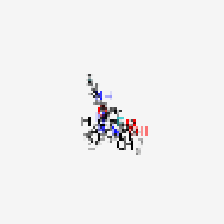 CCC1Cc2c([nH]c3ccccc23)[C@@H](c2c(F)ccc(OCCNCCCF)c2C)N1C[C@H](C)C(=O)O